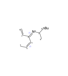 C=CC(/C=C\C)=N/C(C)CCCC